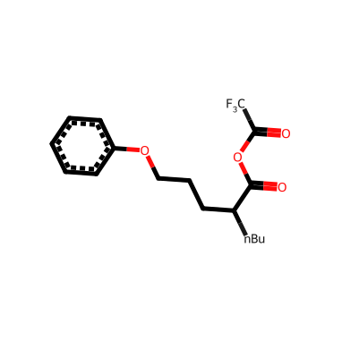 CCCCC(CCCOc1ccccc1)C(=O)OC(=O)C(F)(F)F